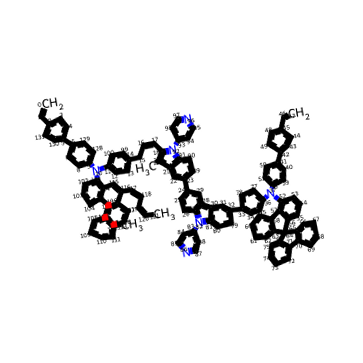 C=Cc1ccc(-c2ccc(N(c3ccc(C/C=C\c4c(C)c5cc(-c6ccc7c(c6)c6cc(-c8ccc(N(c9ccc(-c%10ccc(C=C)cc%10)cc9)c9cccc%10c9-c9ccccc9C%109c%10ccccc%10-c%10ccccc%109)cc8)ccc6n7-c6ccncc6)ccc5n4-c4ccncc4)cc3)c3cccc(Cc4ccccc4C)c3/C=C(/C=C\C=C/C)c3ccccc3)cc2)cc1